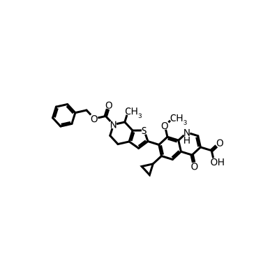 COc1c(-c2cc3c(s2)C(C)N(C(=O)OCc2ccccc2)CC3)c(C2CC2)cc2c(=O)c(C(=O)O)c[nH]c12